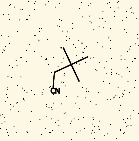 [CH2]C(C)(C)CC#N